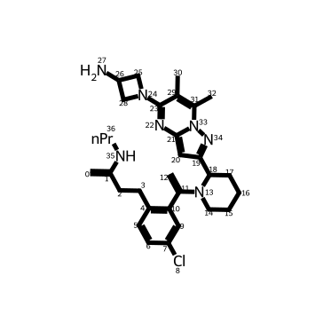 C=C(CCc1ccc(Cl)cc1C(=C)N1CCCCC1c1cc2nc(N3CC(N)C3)c(C)c(C)n2n1)NCCC